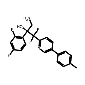 Cc1ccc(-c2ccc(C(F)(F)[C@@](O)(CN)c3ccc(F)cc3F)nc2)cc1